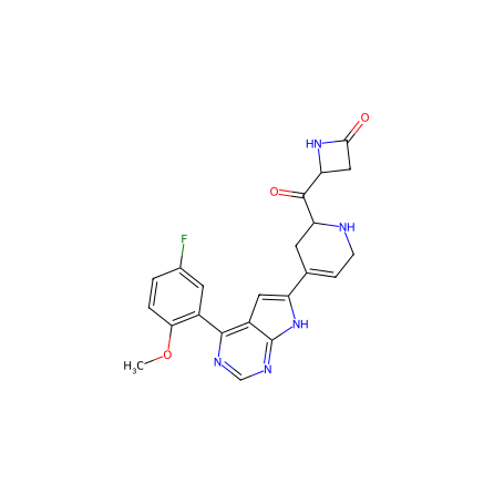 COc1ccc(F)cc1-c1ncnc2[nH]c(C3=CCNC(C(=O)C4CC(=O)N4)C3)cc12